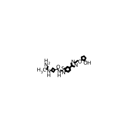 C[C@@H](CN)N[C@H]1C[C@@H](C(=O)Nc2nc3ccc(-c4cnc(CO[C@H]5CCC[C@@H]5O)nc4)cc3s2)C1